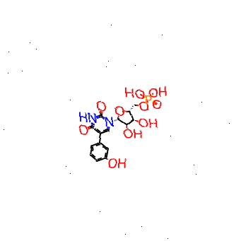 O=c1[nH]c(=O)n([C@@H]2O[C@H](COP(=O)(O)O)[C@@H](O)[C@H]2O)cc1-c1cccc(O)c1